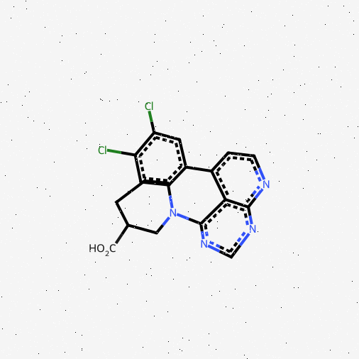 O=C(O)C1CCCN(c2ncnc3nccc(-c4ccc(Cl)c(Cl)c4)c23)C1